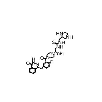 CCCC(CNC(=S)NCC1CNCCN1)N1CCN(C(=O)c2cc(Cc3n[nH]c(=O)c4ccccc34)ccc2F)CC1